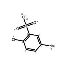 CC(C)(C)c1ccc(Cl)c(S(=O)(=O)C(F)(F)F)c1